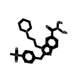 CCCCN(CCCC)C(=O)c1ccc2nc(Cc3ccc(S(C)(=O)=O)cc3)n(CCCN3CCCCC3)c2c1